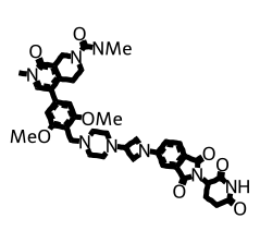 CNC(=O)N1CCc2c(-c3cc(OC)c(CN4CCN(C5CN(c6ccc7c(c6)C(=O)N(C6CCC(=O)NC6=O)C7=O)C5)CC4)c(OC)c3)cn(C)c(=O)c2C1